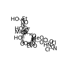 CC[C@H]1OC(=O)[C@H](C)[C@@H](O)[C@H](C)[C@@H](O[C@@H]2O[C@H](C)C[C@H](N(C)C(=O)N(CC)CCO)[C@H]2O)[C@](C)(OC)C[C@@H](C)C(=O)[C@H](C)[C@H]2N(CCCOc3cc(C(=O)Nc4c(Cl)cncc4Cl)ccc3OC)C(=O)O[C@]12C